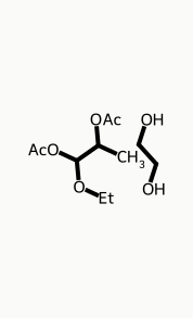 CCOC(OC(C)=O)C(C)OC(C)=O.OCCO